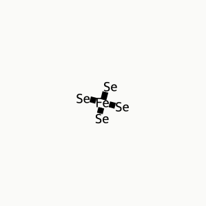 [Se]=[Fe](=[Se])(=[Se])=[Se]